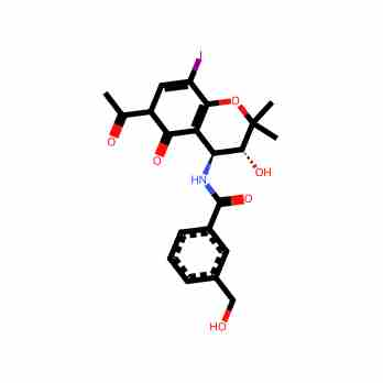 CC(=O)C1C=C(I)C2=C(C1=O)[C@H](NC(=O)c1cccc(CO)c1)[C@@H](O)C(C)(C)O2